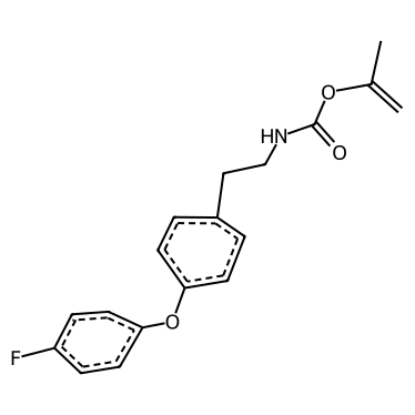 C=C(C)OC(=O)NCCc1ccc(Oc2ccc(F)cc2)cc1